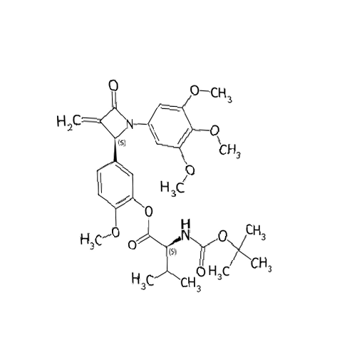 C=C1C(=O)N(c2cc(OC)c(OC)c(OC)c2)[C@H]1c1ccc(OC)c(OC(=O)[C@@H](NC(=O)OC(C)(C)C)C(C)C)c1